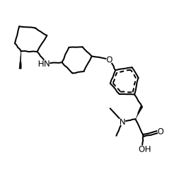 C[C@H]1CCCCC1NC1CCC(Oc2ccc(C[C@@H](C(=O)O)N(C)C)cc2)CC1